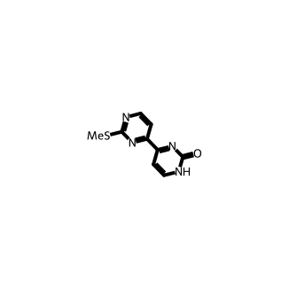 CSc1nccc(-c2cc[nH]c(=O)n2)n1